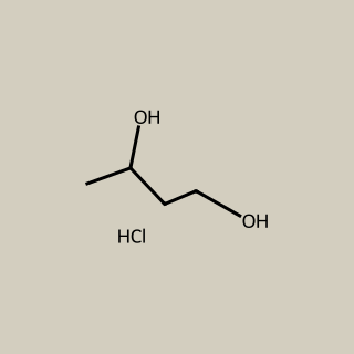 CC(O)CCO.Cl